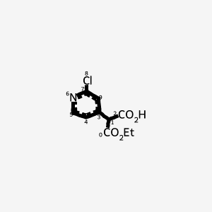 CCOC(=O)C(C(=O)O)c1ccnc(Cl)c1